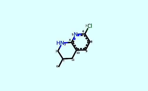 CC1CNc2nc(Cl)ccc2C1